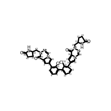 Cc1cc(-c2cccc(-c3cccc(-c4cc5c(=O)n(CC6CCC(=O)N6)ncn5c4)c3Cl)c2Cl)cn1/C=N\N(C=O)CC1CCC(=O)N1